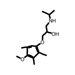 COc1c(C)cc(OCC(O)CNC(C)C)c(C)c1C